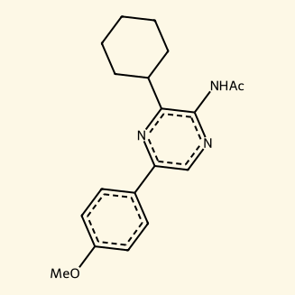 COc1ccc(-c2cnc(NC(C)=O)c(C3CCCCC3)n2)cc1